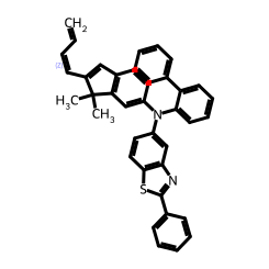 C=C/C=C\C1=Cc2ccc(N(c3ccc4sc(-c5ccccc5)nc4c3)c3ccccc3-c3ccccc3)cc2C1(C)C